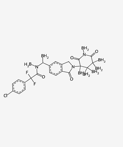 BC(c1ccc2c(c1)CN(C1(B)C(=O)N(B)C(=O)C(B)(B)C1(B)B)C2=O)N(B)C(=O)C(F)(F)c1ccc(Cl)cc1